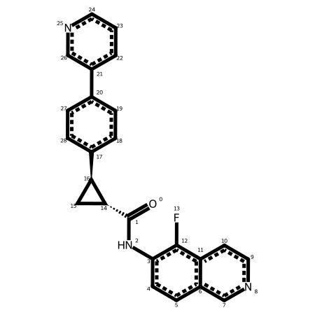 O=C(Nc1ccc2cnccc2c1F)[C@@H]1C[C@H]1c1ccc(-c2cccnc2)cc1